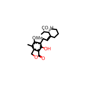 COc1c(C)c2c(c(O)c1CC=C1CCCC[C@H]1[C@H](C)C(=O)O)C(=O)OC2